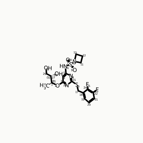 C[C@@H](Oc1cc(NS(=O)(=O)N2CCC2)nc(SCc2cccc(F)c2F)n1)[C@@H](O)CO